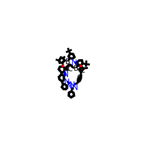 Cc1cc(C)c(B2c3cc(C(C)(C)C)ccc3N3c4ccc(C(C)(C)C)cc4B4c5cc(cc2c53)-n2c3ccccc3c3ccc5c6ccccc6n(c5c32)-c2nc(-c3ccccc3)nc(n2)-c2ccc(cc2)-c2cc(C)cc(C)c24)c(C)c1